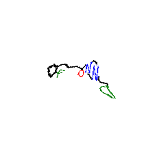 O=C(CC=Cc1ccccc1F)CN1CCN(CCCCl)CC1